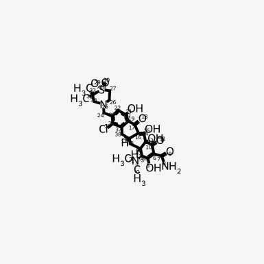 CN(C)[C@@H]1C(O)=C(C(N)=O)C(=O)[C@@]2(O)C(O)=C3C(=O)c4c(O)cc(CN5CCS(=O)(=O)C(C)(C)C5)c(Cl)c4C[C@H]3C[C@@H]12